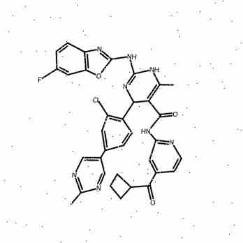 CC1=C(C(=O)Nc2cc(C(=O)C3CCC3)ccn2)C(c2ccc(-c3cnc(C)nc3)cc2Cl)N=C(Nc2nc3ccc(F)cc3o2)N1